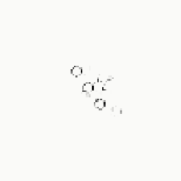 Cn1c(=O)cc(Nc2ccc(Br)cc2F)c2c(=O)n(C3CC3)c(=O)n(-c3cccc(N4CCCCC4=O)c3)c21